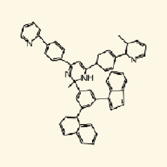 CC1C=CC=NC1C1=CCC(C2=CC(c3ccc(-c4ccccn4)cc3)=NC(C)(c3cc(-c4cccc5ccccc45)cc(-c4cccc5ccccc45)c3)N2)C=C1